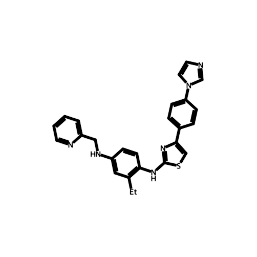 CCc1cc(NCc2ccccn2)ccc1Nc1nc(-c2ccc(-n3ccnc3)cc2)cs1